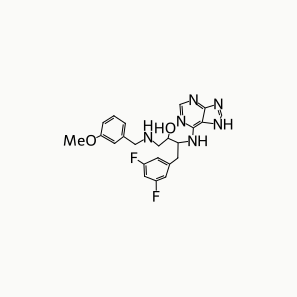 COc1cccc(CNCC(O)C(Cc2cc(F)cc(F)c2)Nc2ncnc3nc[nH]c23)c1